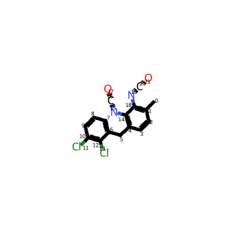 Cc1ccc(Cc2cccc(Cl)c2Cl)c(N=C=O)c1N=C=O